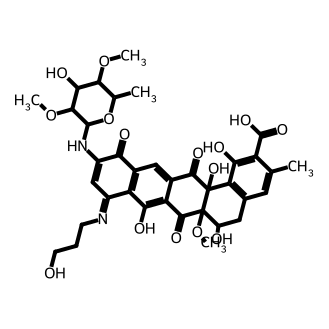 COC1C(C)OC(NC2=CC(=NCCCO)c3c(cc4c(c3O)C(=O)C3(OC)C(O)Cc5cc(C)c(C(=O)O)c(O)c5C3(O)C4=O)C2=O)C(OC)C1O